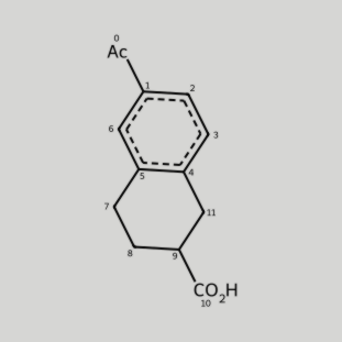 CC(=O)c1ccc2c(c1)CCC(C(=O)O)C2